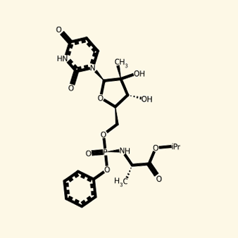 CC(C)OC(=O)[C@H](C)N[P@@](=O)(OC[C@H]1O[C@@H](n2ccc(=O)[nH]c2=O)[C@](C)(O)[C@@H]1O)Oc1ccccc1